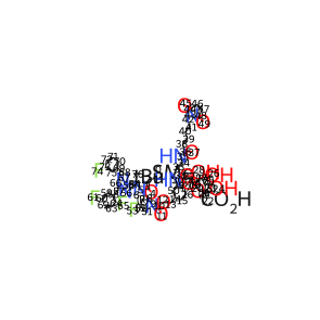 CSCCC(=O)N(C[C@@H]1CN(C(=O)OCc2ccc(O[C@@H]3O[C@H](C(=O)O)[C@@H](O)[C@H](O)[C@H]3O)c(NC(=O)CCNC(=O)CCCCCN3C(=O)C=CC3=O)c2)C[C@@H]1F)[C@@H](c1nc(-c2cc(F)ccc2F)cn1Cc1cccc(F)c1)C(C)(C)C